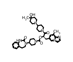 Cc1cc(C[C@@H](OC(=O)N2CCC(N3CCc4ccccc4NC3=O)CC2)C(=O)N2CCC(N3CCC(C)(O)CC3)CC2)cn2ccnc12